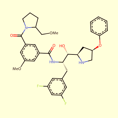 COCC1CCCN1C(=O)c1cc(OC)cc(C(=O)N[C@@H](Cc2cc(F)cc(F)c2)[C@H](O)[C@H]2C[C@@H](Oc3ccccc3)CN2)c1